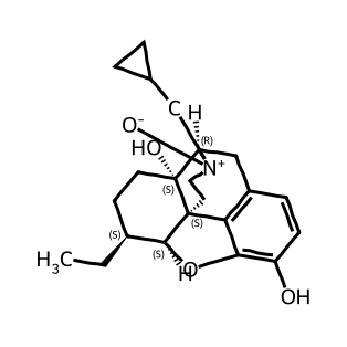 CC[C@H]1CC[C@@]2(O)[C@H]3Cc4ccc(O)c5c4[C@@]2(CC[N+]3([O-])CC2CC2)[C@H]1O5